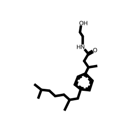 CC(C)CCCC(C)Cc1ccc(C(C)CC(=O)NCCO)cc1